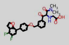 CN(C)C(=O)C(NCC(=O)O)C(=O)c1cccc(COc2ccc(-c3cc(F)c(F)c4ccoc34)cc2)c1